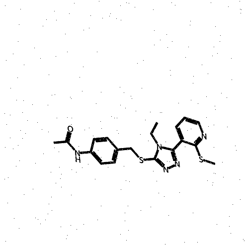 CCn1c(SCc2ccc(NC(C)=O)cc2)nnc1-c1cccnc1SC